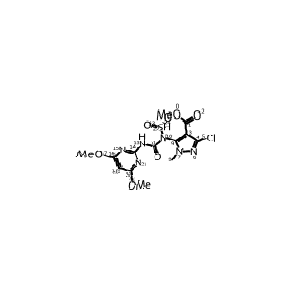 COC(=O)c1c(Cl)nn(C)c1N(C(=O)Nc1nc(OC)cc(OC)n1)[SH](=O)=O